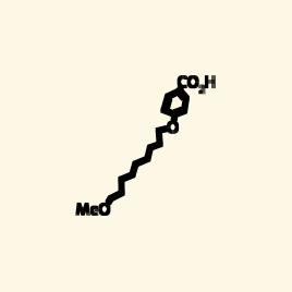 COCCCCCCCCCOc1ccc(C(=O)O)cc1